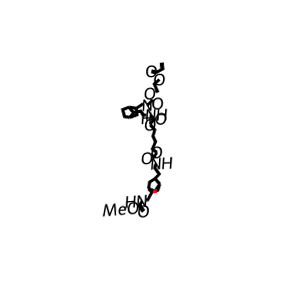 C=CC(=O)OCCOC(=O)NCC1CC2CCC1C2CCNC(=O)OCCCCOC(=O)NCCC1CC2CC1CC2CNC(=O)OC